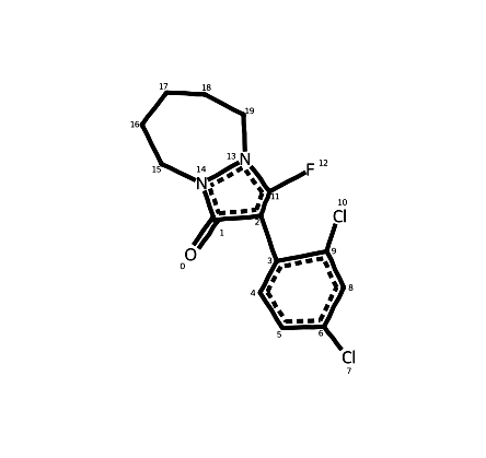 O=c1c(-c2ccc(Cl)cc2Cl)c(F)n2n1CCCCC2